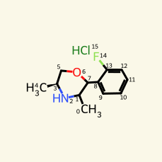 CC1N[C@@H](C)COC1c1ccccc1F.Cl